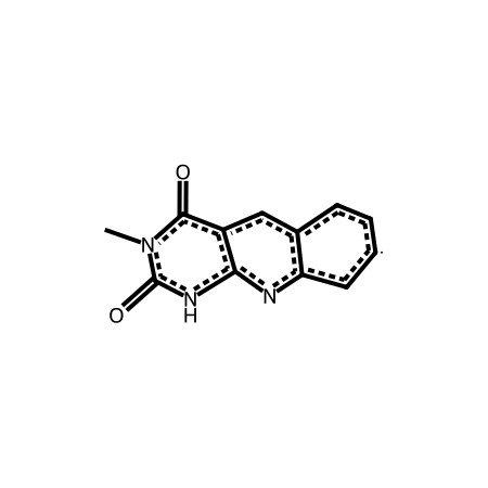 Cn1c(=O)[nH]c2nc3c[c]ccc3cc2c1=O